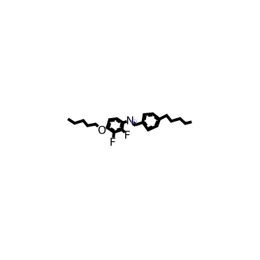 CCCCCOc1ccc(/N=C/c2ccc(CCCCC)cc2)c(F)c1F